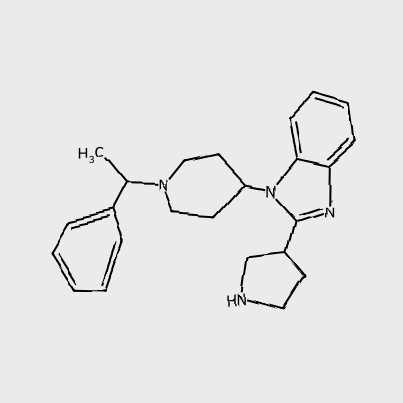 CC(c1ccccc1)N1CCC(n2c(C3CCNC3)nc3ccccc32)CC1